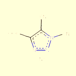 N#Cc1c(C(=O)[O-])nnn1C#N.[Na+]